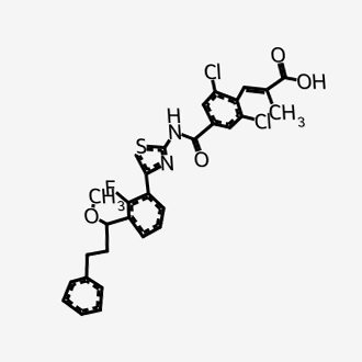 COC(CCc1ccccc1)c1cccc(-c2csc(NC(=O)c3cc(Cl)c(C=C(C)C(=O)O)c(Cl)c3)n2)c1F